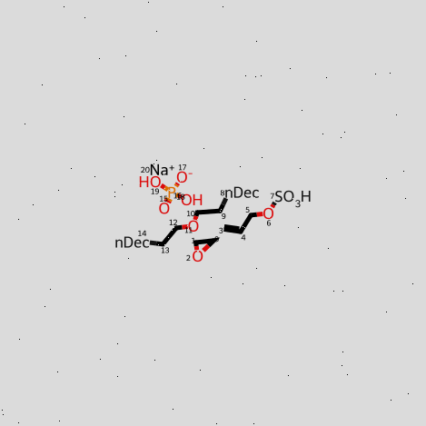 C1CO1.C=CCOS(=O)(=O)O.CCCCCCCCCCCCOCCCCCCCCCCCC.O=P([O-])(O)O.[Na+]